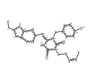 CCc1nc2ccc(/N=c3\[nH]c(=O)n(CC/C=N\C)c(=O)n3Cc3ccc(Cl)cc3)cc2s1